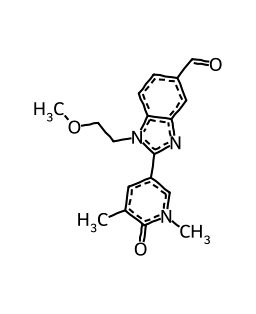 COCCn1c(-c2cc(C)c(=O)n(C)c2)nc2cc(C=O)ccc21